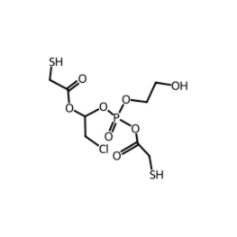 O=C(CS)OC(CCl)OP(=O)(OCCO)OC(=O)CS